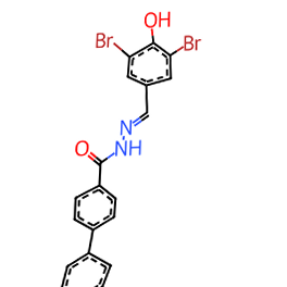 O=C(NN=Cc1cc(Br)c(O)c(Br)c1)c1ccc(-c2ccccc2)cc1